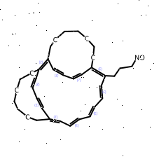 O=NCCCC1=C2\C=C/C=C\C(=C3/C=C\C=C/C(=C\C=C\C=C\C=C\1)CCCCCCC3)CCCCCCC2